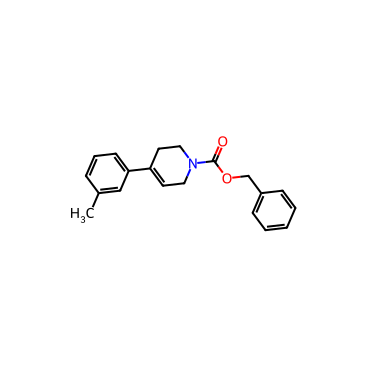 Cc1cccc(C2=CCN(C(=O)OCc3ccccc3)CC2)c1